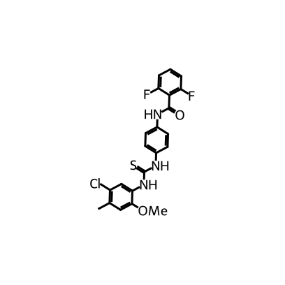 COc1cc(C)c(Cl)cc1NC(=S)Nc1ccc(NC(=O)c2c(F)cccc2F)cc1